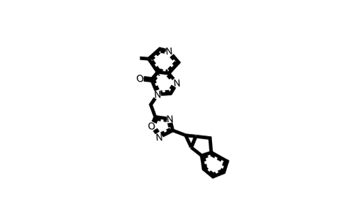 Cc1cncc2ncn(Cc3nc(C4C5Cc6ccccc6C54)no3)c(=O)c12